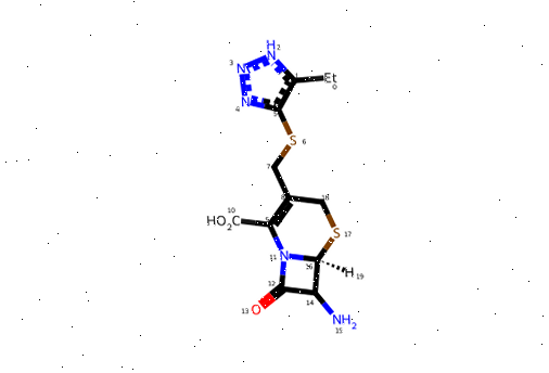 CCc1[nH]nnc1SCC1=C(C(=O)O)N2C(=O)C(N)[C@@H]2SC1